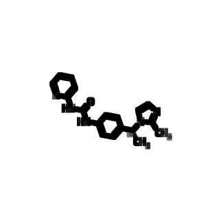 Cc1nccn1[C@H](C)c1ccc(NC(=O)Nc2ccccn2)cc1